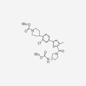 Cc1cc(-c2ccc(C3CCN(C(=O)OC(C)(C)C)CC3)c(Cl)c2)sc1C(=O)N1CC[C@H](NC(=O)OC(C)(C)C)C1